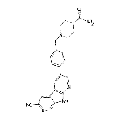 N#Cc1cc2c(cn1)[nH]c1ncc(-c3ccc(CN4CCC(C(N)=O)CC4)cc3)cc12